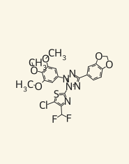 COc1cc(-n2nc(-c3ccc4c(c3)OCO4)n[n+]2-c2nc(C(F)F)c(Cl)s2)cc(OC)c1OC